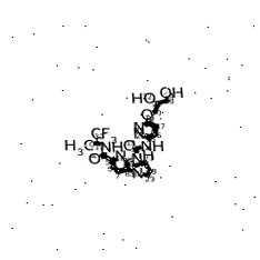 C[C@@H](NC(=O)c1ccc2c(n1)N(C(=O)Nc1ccc(OC[C@@H](O)CO)nn1)[C@H]1CCN2C1)C(F)(F)F